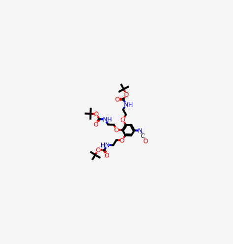 CC(C)(C)OC(=O)NCCOc1cc(N=C=O)cc(OCCNC(=O)OC(C)(C)C)c1OCCNC(=O)OC(C)(C)C